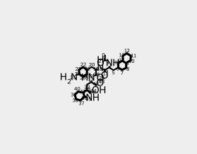 CC(=O)NC(Cc1ccc2ccccc2c1)C(=O)NC(Cc1ccc(N)cc1)C(=O)NC(Cc1c[nH]c2ccccc12)C(=O)O